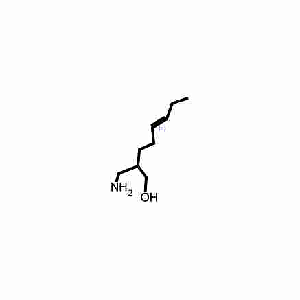 CC/C=C/CCC(CN)CO